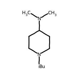 CCC(C)N1CCC(N(C)C)CC1